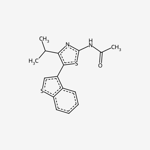 CC(=O)Nc1nc(C(C)C)c(-c2csc3ccccc23)s1